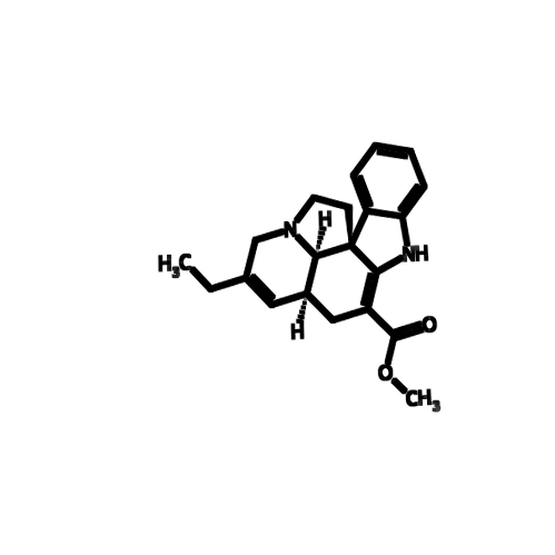 CCC1=C[C@@H]2CC(C(=O)OC)=C3Nc4ccccc4[C@]34CCN(C1)[C@H]24